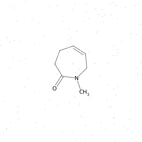 CN1CC=CCCC1=O